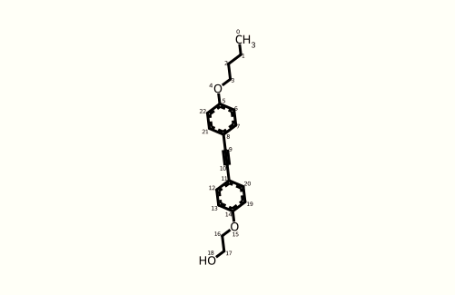 CCCCOc1ccc(C#Cc2ccc(OCCO)cc2)cc1